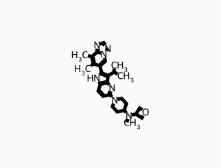 Cc1c(-c2[nH]c3ccc(N4CCC(N(C)C5COC5)CC4)nc3c2C(C)C)cn2ncnc2c1C